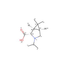 CC(C)N1C[C@H]2[C@@H]([C@H]1C(=O)O)C2(C)C